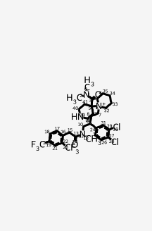 CN(C)C(=O)C1([N+]2(CCC(CN(C)C(=O)Cc3ccc(C(F)(F)F)cc3C(F)(F)F)c3ccc(Cl)c(Cl)c3)CCCCC2)CCNCC1